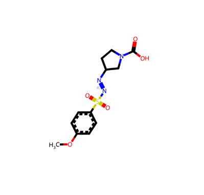 COc1ccc(S(=O)(=O)/N=N/C2CCN(C(=O)O)C2)cc1